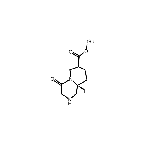 CC(C)(C)OC(=O)[C@H]1CC[C@@H]2CNCC(=O)N2C1